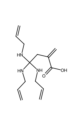 C=CCNC(CC(=C)C(=O)O)(NCC=C)NCC=C